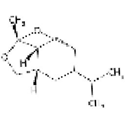 CC(C)C1C[C@@H]2CO[C@]3(C)OC1C[C@H]23